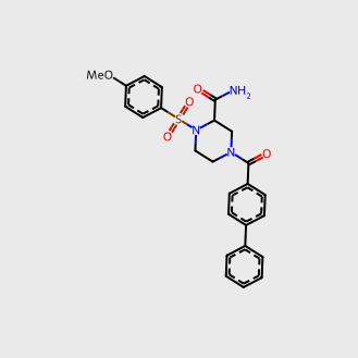 COc1ccc(S(=O)(=O)N2CCN(C(=O)c3ccc(-c4ccccc4)cc3)CC2C(N)=O)cc1